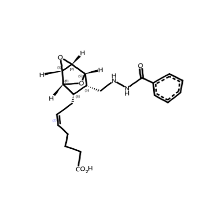 O=C(O)CCC/C=C\C[C@H]1[C@@H](CNNC(=O)c2ccccc2)[C@@H]2O[C@H]1[C@@H]1O[C@@H]12